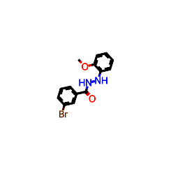 COc1ccccc1NNC(=O)c1cccc(Br)c1